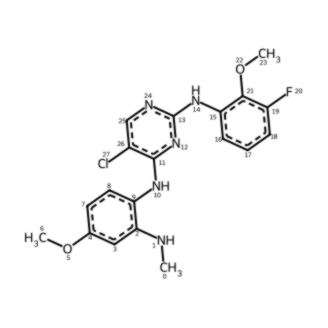 CNc1cc(OC)ccc1Nc1nc(Nc2cccc(F)c2OC)ncc1Cl